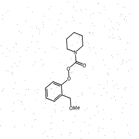 COCc1ccccc1OOC(=O)N1CCCCC1